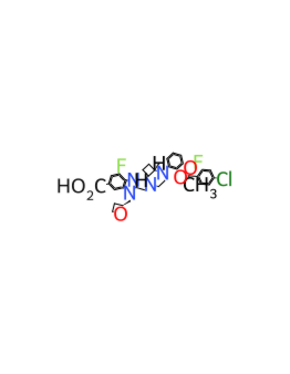 C[C@]1(c2ccc(Cl)cc2F)Oc2cccc(N3CCN(Cc4nc5c(F)cc(C(=O)O)cc5n4C[C@@H]4CCO4)[C@H]4CC[C@@H]43)c2O1